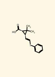 CC1(C)[C@H](C(=O)O)[C@@H]1/C=C/Sc1ccccc1